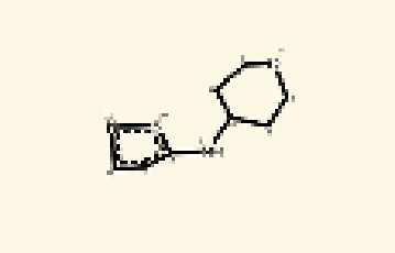 c1cc(NC2CCOCC2)sn1